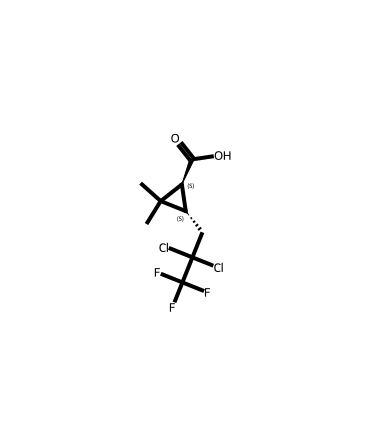 CC1(C)[C@@H](CC(Cl)(Cl)C(F)(F)F)[C@@H]1C(=O)O